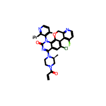 C=CC(=O)N1CCN(c2nc(=O)n(-c3c(C)ccnc3C(C)C)c3c4c(c(Cl)cc23)-c2c(F)ccnc2CO4)[C@@H](C)C1